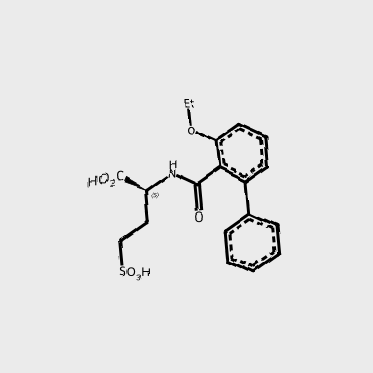 CCOc1cccc(-c2ccccc2)c1C(=O)N[C@@H](CCS(=O)(=O)O)C(=O)O